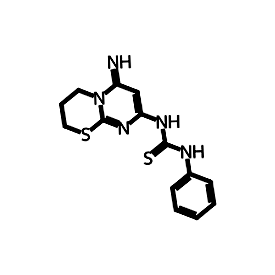 N=c1cc(NC(=S)Nc2ccccc2)nc2n1CCCS2